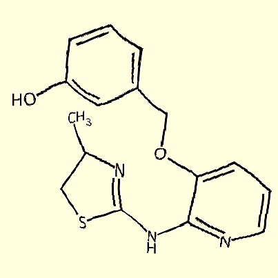 CC1CSC(Nc2ncccc2OCc2cccc(O)c2)=N1